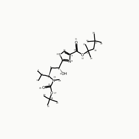 CC(C)[C@@H](C[C@@H](O)c1nc(C(=O)OC(C)(C)CC(C)(C)C)cs1)N(C)C(=O)OC(C)(C)C